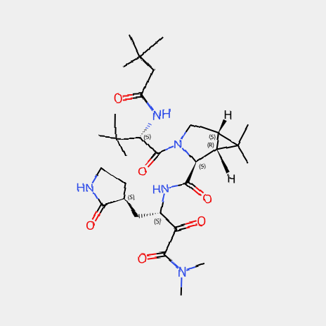 CN(C)C(=O)C(=O)[C@H](C[C@@H]1CCNC1=O)NC(=O)[C@@H]1[C@@H]2[C@H](CN1C(=O)[C@@H](NC(=O)CC(C)(C)C)C(C)(C)C)C2(C)C